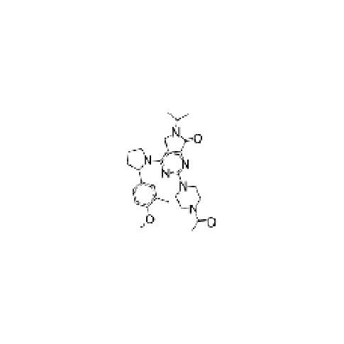 COc1ccc(C2CCCN2c2nc(N3CCN(C(C)=O)CC3)nc3c2CN(C(C)C)C3=O)cc1C